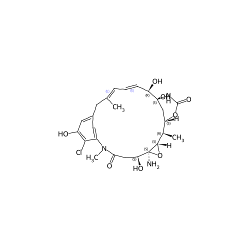 C/C1=C\C=C\[C@@H](O)[C@@]2(O)C[C@H](OC(=O)N2)[C@@H](C)[C@@H]2O[C@@]2(N)[C@@H](O)CC(=O)N(C)c2cc(cc(O)c2Cl)C1